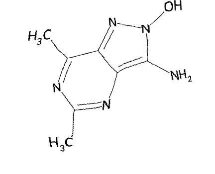 Cc1nc(C)c2nn(O)c(N)c2n1